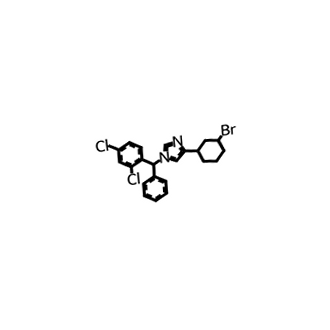 Clc1ccc(C(c2ccccc2)n2cnc(C3CCCC(Br)C3)c2)c(Cl)c1